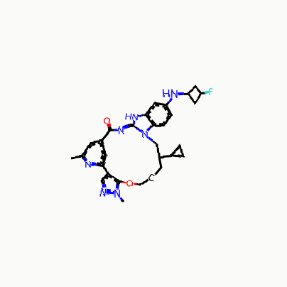 Cc1cc2cc(n1)-c1cnn(C)c1OCCCC(C1CC1)CN1/C(=N/C2=O)Nc2cc(NC3CC(F)C3)ccc21